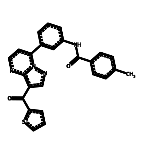 Cc1ccc(C(=O)Nc2cccc(-c3ccnc4c(C(=O)c5cccs5)cnn34)c2)cc1